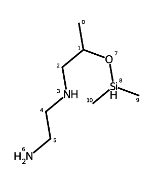 CC(CNCCN)O[SiH](C)C